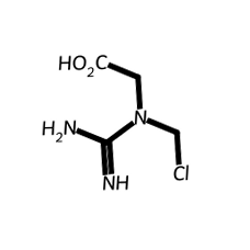 N=C(N)N(CCl)CC(=O)O